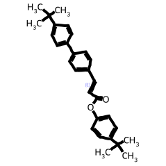 CC(C)(C)c1ccc(OC(=O)/C=C/c2ccc(-c3ccc(C(C)(C)C)cc3)cc2)cc1